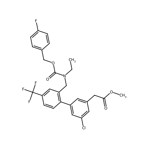 CCN(Cc1cc(C(F)(F)F)ccc1-c1cc(Cl)cc(CC(=O)OC)c1)C(=O)OCc1ccc(F)cc1